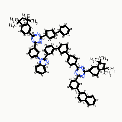 CC1(C)CC(C)(C)c2cc(-c3nc(-c4ccc(-c5cccc(-c6cccc(-c7nc8ccccc8n7-c7cccc(-c8nc(-c9ccc(-c%10ccccc%10)cc9)nc(-c9ccc%10c(c9)C(C)(C)CC%10(C)C)n8)c7)c6)c5)cc4)nc(-c4cccc(-c5ccc6ccccc6c5)c4)n3)ccc21